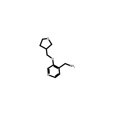 NCc1ccncc1OCC1CCOC1